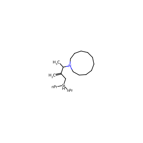 C=C(C[SiH](CCC)CCC)C(C)N1CCCCCCCCCC1